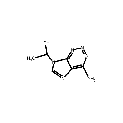 CC(C)n1cnc2c(N)nnnc21